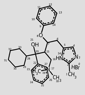 Br.Cc1ncc(CC(Oc2ccccc2)C(CN(C)C)C(O)(c2ccccc2)C2CCCCC2)[nH]1